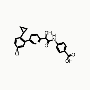 C=C(/C=C\C(=C/C)c1cc(Cl)ccc1C1CC1)C(O)C(=O)Nc1ccc(C(=O)O)cc1